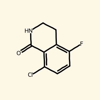 O=C1NCCc2c(F)ccc(Cl)c21